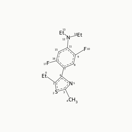 CCc1sc(C)nc1-c1cc(F)c(N(CC)CC)cc1F